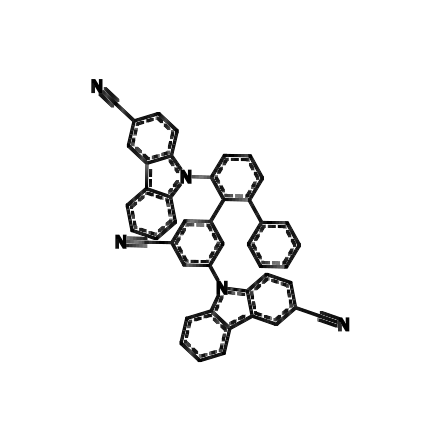 N#Cc1cc(-c2c(-c3ccccc3)cccc2-n2c3ccccc3c3cc(C#N)ccc32)cc(-n2c3ccccc3c3cc(C#N)ccc32)c1